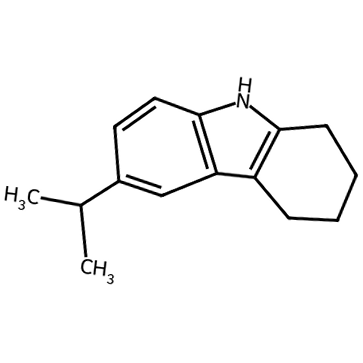 CC(C)c1ccc2[nH]c3c(c2c1)CCCC3